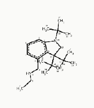 CCNCc1cccc2c1C(C(C)(C)C)(C(C)(C)C)CN2C(C)(C)C